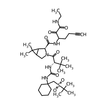 C#CCCC(NC(=O)[C@@H]1C2C(CN1C(=O)[C@@H](NC(=O)NC1(CS(=O)(=O)C(C)(C)C)CCCCC1)C(C)(C)C)C2(C)C)C(=O)C(=O)NCC